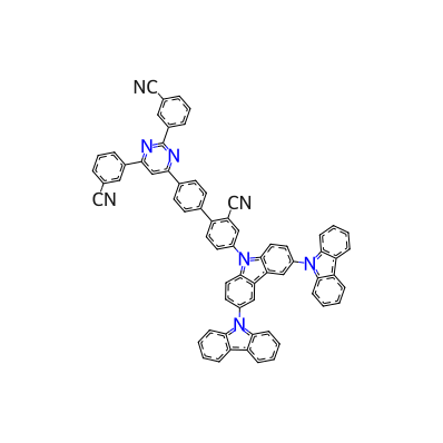 N#Cc1cccc(-c2cc(-c3ccc(-c4ccc(-n5c6ccc(-n7c8ccccc8c8ccccc87)cc6c6cc(-n7c8ccccc8c8ccccc87)ccc65)cc4C#N)cc3)nc(-c3cccc(C#N)c3)n2)c1